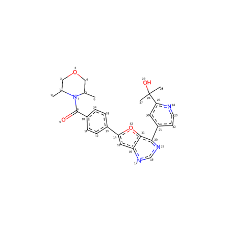 CC1COCC(C)N1C(=O)c1ccc(-c2cc3ncnc(-c4ccnc(C(C)(C)O)c4)c3o2)cc1